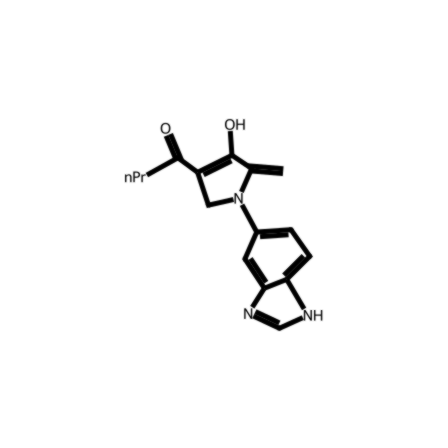 C=C1C(O)=C(C(=O)CCC)CN1c1ccc2[nH]cnc2c1